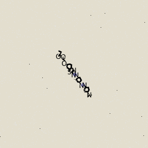 C=CC(=O)OCCOc1ccc2nc(/N=N/c3ccc(/N=N/c4ccc(N(C)C)cc4)cc3)sc2c1